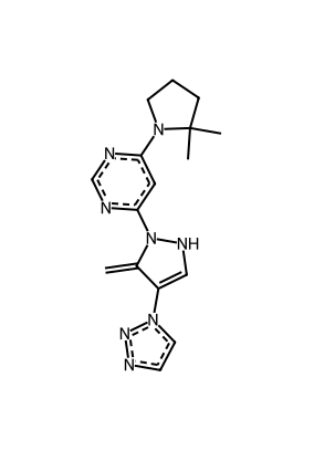 C=C1C(n2ccnn2)=CNN1c1cc(N2CCCC2(C)C)ncn1